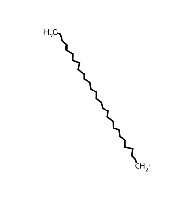 [CH2]CCC=CCCCCCCCCCCCCCCCCCCCCCCC[CH2]